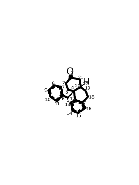 O=C1CC[C@@]2(Cc3ccccc3)c3ccccc3CC[C@@H]2C1